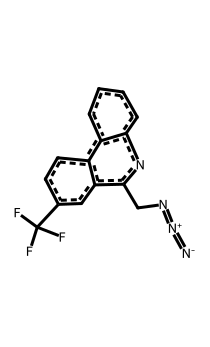 [N-]=[N+]=NCc1nc2ccccc2c2ccc(C(F)(F)F)cc12